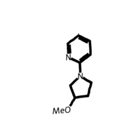 COC1CCN(c2cc[c]cn2)C1